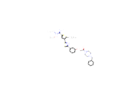 CSc1sc(C(=N)N(C=O)OC(C)(C)C)cc1-c1nc(-c2cccc(OCC(=O)N3CCN(Cc4ccccc4)CC3)c2)cs1